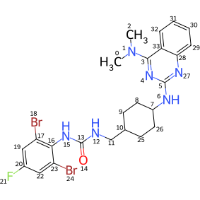 CN(C)c1nc(NC2CCC(CNC(=O)Nc3c(Br)cc(F)cc3Br)CC2)nc2ccccc12